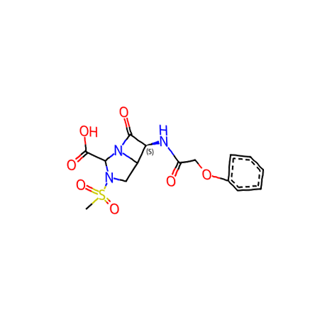 CS(=O)(=O)N1CC2[C@H](NC(=O)COc3ccccc3)C(=O)N2C1C(=O)O